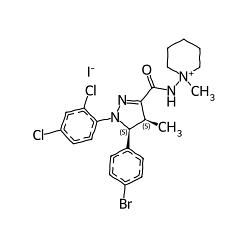 C[C@@H]1C(C(=O)N[N+]2(C)CCCCC2)=NN(c2ccc(Cl)cc2Cl)[C@@H]1c1ccc(Br)cc1.[I-]